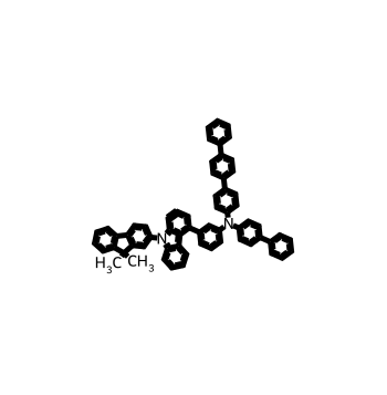 CC1(C)c2ccccc2-c2ccc(-n3c4c#ccc(-c5cccc(N(c6ccc(-c7ccccc7)cc6)c6ccc(-c7ccc(-c8ccccc8)cc7)cc6)c5)c4c4ccccc43)cc21